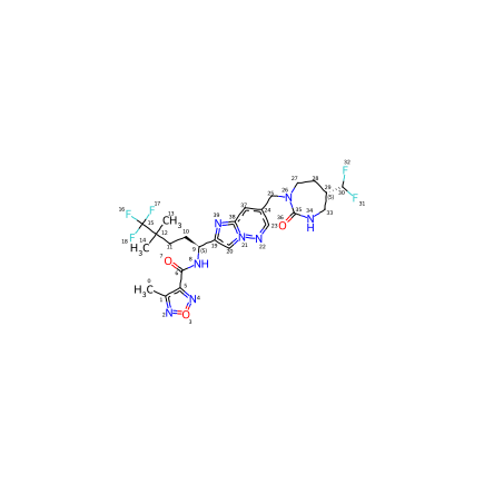 Cc1nonc1C(=O)N[C@@H](CCC(C)(C)C(F)(F)F)c1cn2ncc(CN3CC[C@H](C(F)F)CNC3=O)cc2n1